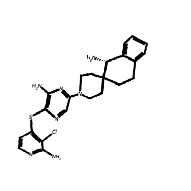 Nc1nc(N2CCC3(CCc4ccccc4[C@H]3N)CC2)cnc1Sc1ccnc(N)c1Cl